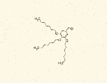 CCCCCCCOc1cc(C=O)cc(OCCCCCCC)c1OCCCCCCC